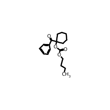 CCCCOC(=O)OC1(C(=O)c2ccccc2)CCCCC1